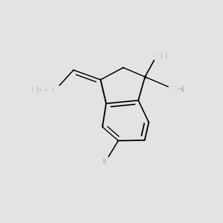 CC1(C)C/C(=C/C(=O)O)c2cc(F)ccc21